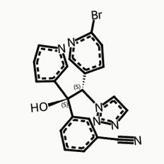 N#Cc1cccc([C@](O)(c2cccnc2)[C@H](c2ccc(Br)nc2)n2ccnn2)c1